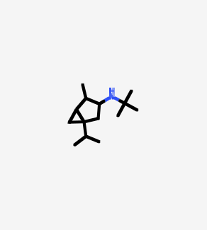 CC1C(NC(C)(C)C)CC2(C(C)C)CC12